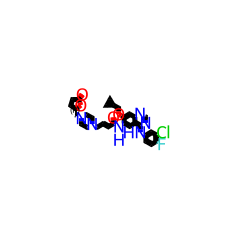 O=C(C=CCN1CCN(C[C@H]2CCC(=O)O2)CC1)Nc1cc2c(Nc3ccc(F)c(Cl)c3)ncnc2cc1OCC1CC1